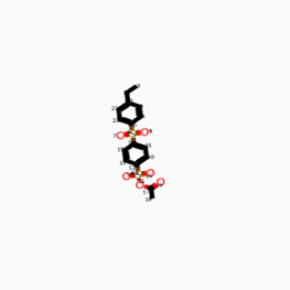 CCc1ccc(S(=O)(=O)c2ccc(S(=O)(=O)OC(C)=O)cc2)cc1